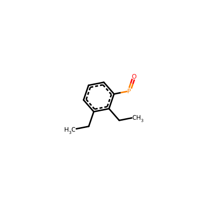 CCc1cccc(P=O)c1CC